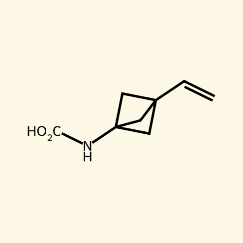 C=CC12CC(NC(=O)O)(C1)C2